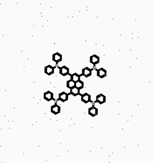 C1=CC2=C(c3ccc(N(c4ccccc4)c4ccccc4)cc3)C=C(c3ccc(N(c4ccccc4)c4ccccc4)cc3)C3=CC=C4C(=C1C(c1ccc(N(c5ccccc5)c5ccccc5)cc1)=CC4c1ccc(N(c4ccccc4)c4ccccc4)cc1)C32